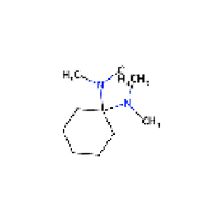 CN(C)C1(N(C)C)CC[CH]CC1